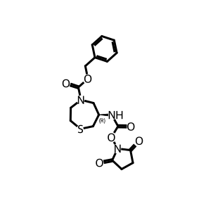 O=C(N[C@H]1CSCCN(C(=O)OCc2ccccc2)C1)ON1C(=O)CCC1=O